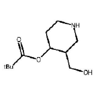 CC(C)(C)C(=O)OC1CCNCC1CO